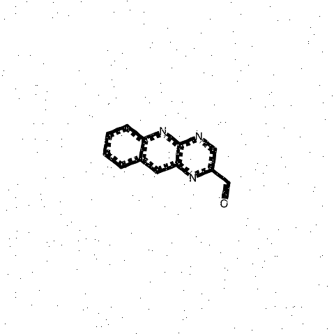 O=Cc1cnc2nc3ccccc3cc2n1